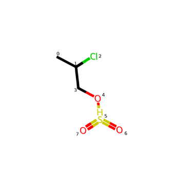 CC(Cl)CO[SH](=O)=O